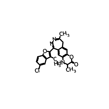 CC1=NN=C(c2oc3ccc(Cl)cc3c2C)c2cc3c(cc2C1)OC(=O)C(C)N3